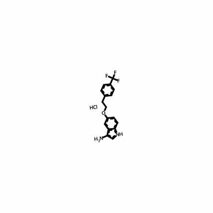 Cl.Nc1c[nH]c2ccc(OCCc3ccc(C(F)(F)F)cc3)cc12